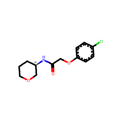 O=C(COc1ccc(Cl)cc1)N[C@@H]1CCCOC1